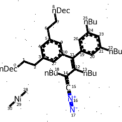 CCCCCCCCCCCCc1cc(CCCCCCCCCCCC)cc(C(=C(CCCC)C(=C=[N+]=[N-])CCCC)c2cc(CCCC)cc(CCCC)c2)c1.[CH3][Ni][CH3]